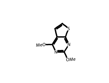 COc1nc(OC)c2ccsc2n1